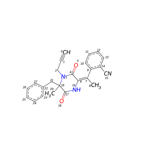 C#CCN1C(=O)C(=C(C)c2ccccc2C#N)NC(=O)C1(C)Cc1ccccc1